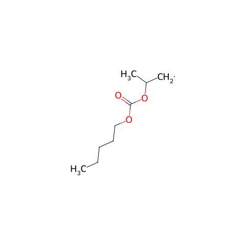 [CH2]C(C)OC(=O)OCCCCC